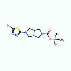 CC(C)(C)OC(=O)N1CC2CN(c3nnc(Br)s3)CC2C1